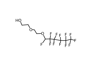 OCCOCCOC(F)C(F)(F)C(F)(F)C(F)(F)C(F)(F)C(F)(F)F